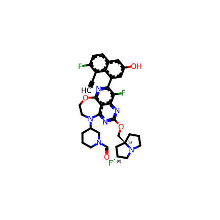 C#Cc1c(F)ccc2cc(O)cc(-c3nc4c5c(nc(OC[C@@]67CCCN6C[C@H](F)C7)nc5c3F)N(C3CCCN(C=O)C3)CCO4)c12